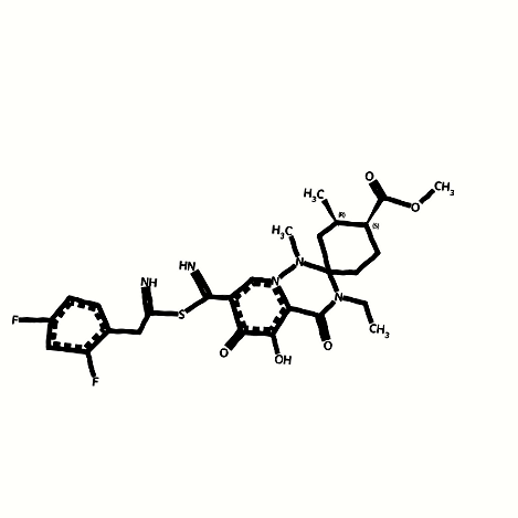 CCN1C(=O)c2c(O)c(=O)c(C(=N)SC(=N)Cc3ccc(F)cc3F)cn2N(C)C12CC[C@H](C(=O)OC)[C@H](C)C2